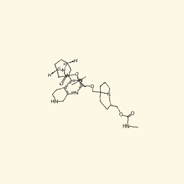 CNC(=O)OCC1CCC2(COc3nc4c(c(N5C[C@H]6CC[C@@H](C5)N6C(=O)OC(C)(C)C)n3)CCNC4)CCCN12